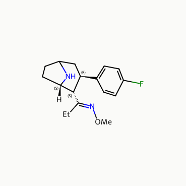 CCC(=NOC)[C@@H]1[C@@H]2CCC(C[C@H]1c1ccc(F)cc1)N2